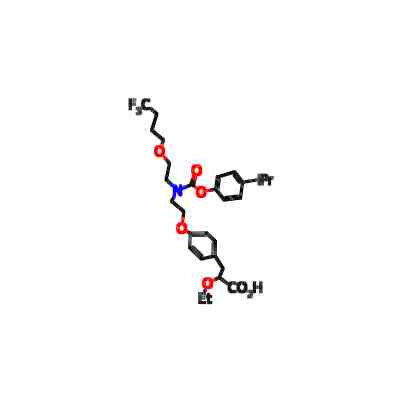 CCOC(Cc1ccc(OCCN(CCOCCCC(F)(F)F)C(=O)Oc2ccc(C(C)C)cc2)cc1)C(=O)O